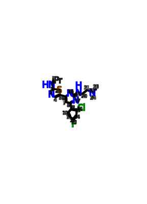 CC(C)Nc1ncc(-c2cc(-c3ccc(F)cc3Cl)nc(NCCN(C)C)n2)s1